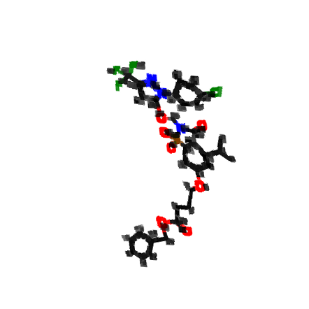 CC(C)c1cc(OCCCC(=O)OCc2ccccc2)cc2c1C(=O)N(COc1cc(C(F)(F)F)nn1-c1ccc(Cl)cc1)S2(=O)=O